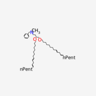 CCCCCC=CCC=CCCCCCCCCOCC(CCN(C)Cc1ccccc1)OCCCCCCCCC=CCC=CCCCCC